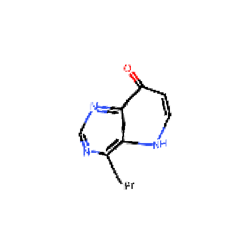 CC(C)c1ncnc2c(=O)cc[nH]c12